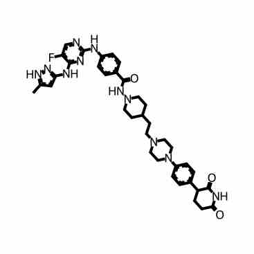 Cc1cc(Nc2nc(Nc3ccc(C(=O)NN4CCC(CCN5CCN(c6ccc(C7CCC(=O)NC7=O)cc6)CC5)CC4)cc3)ncc2F)n[nH]1